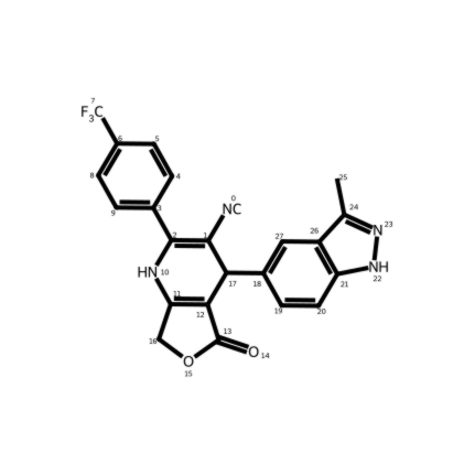 [C-]#[N+]C1=C(c2ccc(C(F)(F)F)cc2)NC2=C(C(=O)OC2)C1c1ccc2[nH]nc(C)c2c1